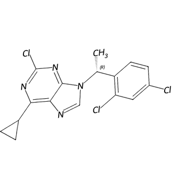 C[C@H](c1ccc(Cl)cc1Cl)n1cnc2c(C3CC3)nc(Cl)nc21